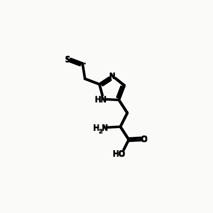 NC(Cc1cnc(C[C]=S)[nH]1)C(=O)O